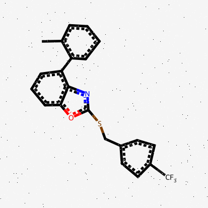 Cc1ccccc1-c1cccc2oc(SCc3ccc(C(F)(F)F)cc3)nc12